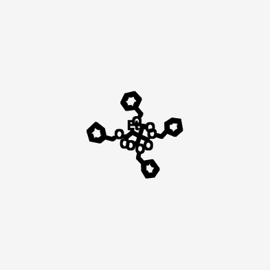 CCC(C(=O)OCc1ccccc1)C(C(=O)OCc1ccccc1)(C(=O)OCc1ccccc1)C(=O)OCc1ccccc1